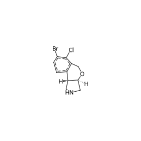 Clc1c(Br)ccc2c1CO[C@H]1CNC[C@H]21